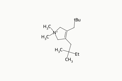 CCC(C)(C)CC1=C(CC(C)(C)C)C[N+](C)(C)C1